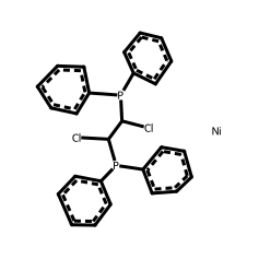 ClC(C(Cl)P(c1ccccc1)c1ccccc1)P(c1ccccc1)c1ccccc1.[Ni]